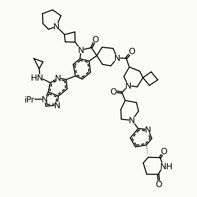 CC(C)n1cnc2cc(-c3ccc4c(c3)N(C3CC(N5CCCCC5)C3)C(=O)C43CCN(C(=O)C4CN(C(=O)C5CCN(c6ccc([C@H]7CCC(=O)NC7=O)cn6)CC5)CC5(CCC5)C4)CC3)nc(NC3CC3)c21